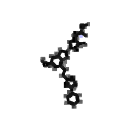 CO/C(C)=N/n1cc(C2=Cc3c(CCc4nsc(-c5ccccc5)n4)cc(OC)cc3C2)nc1C